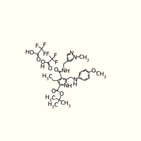 CCc1c(C(=O)OC(C)(C)C)[nH]c(CNc2ccc(OC)cc2)c1C(=O)NCc1cnn(C)c1.O=C(O)C(F)(F)F.O=C(O)C(F)(F)F